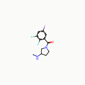 CNC1CCN(C(=O)c2cc(I)cc(F)c2F)C1